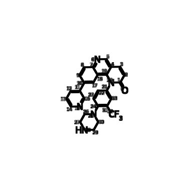 O=c1ccc2cnc3ccc(-c4cccnc4)cc3c2n1-c1ccc(N2CCNCC2)c(C(F)(F)F)c1